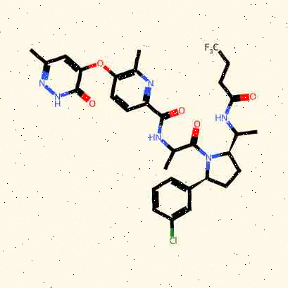 Cc1cc(Oc2ccc(C(=O)NC(C)C(=O)N3[C@@H](C(C)NC(=O)CCC(F)(F)F)CC[C@H]3c3cccc(Cl)c3)nc2C)c(=O)[nH]n1